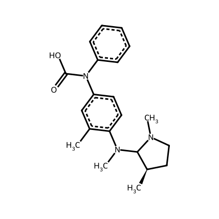 Cc1cc(N(C(=O)O)c2ccccc2)ccc1N(C)C1[C@H](C)CCN1C